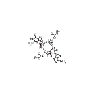 CC(C)OC(=O)OCO[P@]1(=O)OCC23C[C@@H]2[C@@H](n2cnc4c(N)ncnc42)[C@H](O)[C@@H]3[P@](=O)(SCOC(=O)OC(C)C)OC[C@H]2O[C@@H](n3cnc4c(=O)[nH]c(N)nc43)[C@H](O1)[C@@H]2O